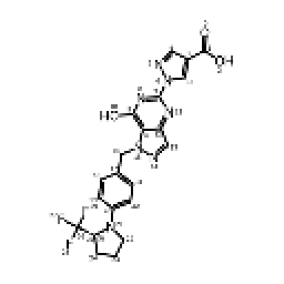 O=C(O)c1cnn(-c2nc(O)c3c(cnn3Cc3ccc(N4CCC[C@H]4C(F)(F)F)cc3)n2)c1